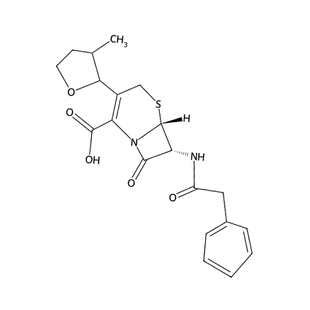 CC1CCOC1C1=C(C(=O)O)N2C(=O)[C@@H](NC(=O)Cc3ccccc3)[C@H]2SC1